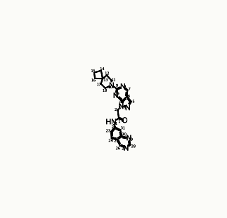 O=C(Cn1ncc2cnc(N3CCC4(CCC4)CC3)nc21)Nc1ccc2cncnc2c1